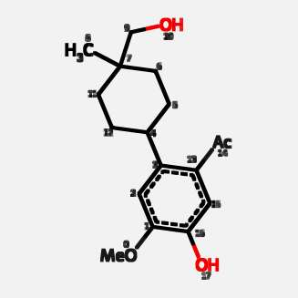 COc1cc(C2CCC(C)(CO)CC2)c(C(C)=O)cc1O